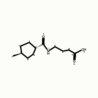 C[C@H]1CC[C@H](C(=O)NCCCC(=O)O)CC1